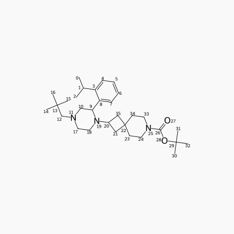 CC(C)c1ccccc1C1CN(CC(C)(C)C)CCN1C1CC2(CCN(C(=O)OC(C)(C)C)CC2)C1